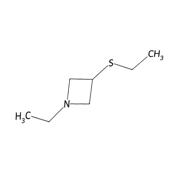 CCSC1CN(CC)C1